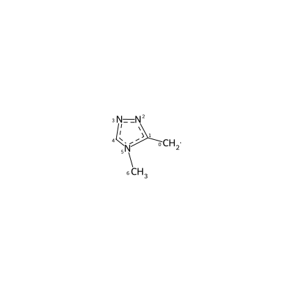 [CH2]c1nncn1C